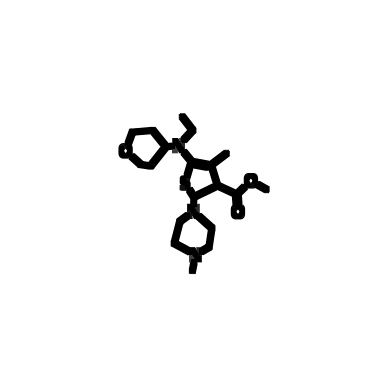 CCN(C1=C(C)C(C(=O)OC)C(N2CCN(C)CC2)S1)C1CCOCC1